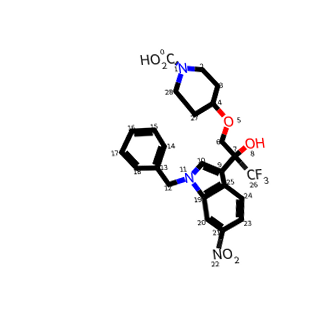 O=C(O)N1CCC(OCC(O)(c2cn(Cc3ccccc3)c3cc([N+](=O)[O-])ccc23)C(F)(F)F)CC1